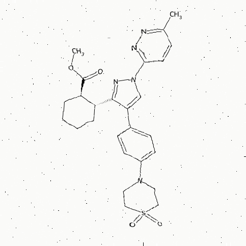 COC(=O)[C@@H]1CCCC[C@H]1c1nn(-c2ccc(C)nn2)cc1-c1ccc(N2CCS(=O)(=O)CC2)cc1